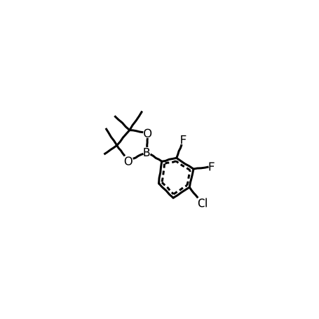 CC1(C)OB(c2ccc(Cl)c(F)c2F)OC1(C)C